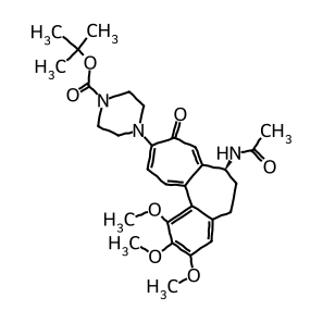 COc1cc2c(c(OC)c1OC)-c1ccc(N3CCN(C(=O)OC(C)(C)C)CC3)c(=O)cc1[C@@H](NC(C)=O)CC2